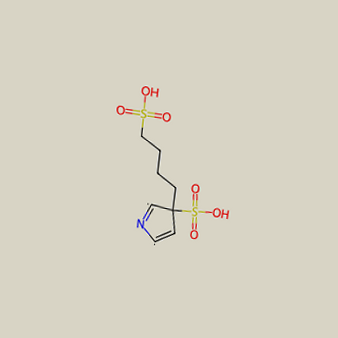 O=S(=O)(O)CCCCC1(S(=O)(=O)O)[C]=N[C]=C1